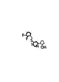 OC1CCCC1c1cc(SCc2cccc(F)c2F)ncn1